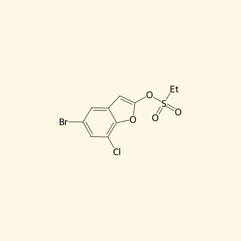 CCS(=O)(=O)Oc1cc2cc(Br)cc(Cl)c2o1